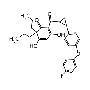 CCCC1(CCC)C(=O)C(C(=O)C2CC2c2ccc(Oc3ccc(F)cc3)cc2)=C(O)C=C1O